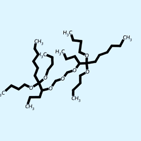 CCCCCCC(OCCCC)(OCCCC)C(CCC)OCOCOC(CCC)C(CCCCCC)(OCCCC)OCCCC